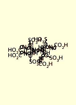 O=C(O)c1cccc(N=Nc2ccc(Nc3nc(Nc4ccc(N=Nc5cccc(C(=O)O)c5)cc4OCCCS(=O)(=O)O)nc(N4CCN(c5nc(Nc6ccc(N=Nc7cccc(C(=O)O)c7)cc6OCCCS(=O)(=O)O)nc(Nc6ccc(N=Nc7cccc(C(=O)O)c7)cc6OCCCS(=O)(=O)O)n5)CC4)n3)c(OCCCS(=O)(=O)O)c2)c1